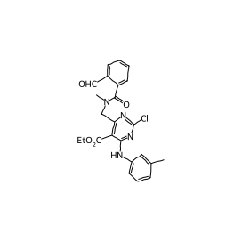 CCOC(=O)c1c(CN(C)C(=O)c2ccccc2C=O)nc(Cl)nc1Nc1cccc(C)c1